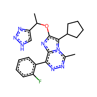 Cc1nnc(-c2ccccc2F)c2nc(OC(C)c3c[nH]nn3)c(C3CCCC3)n12